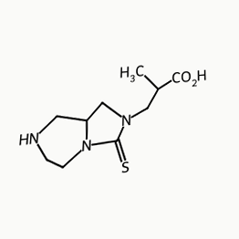 CC(CN1CC2CNCCN2C1=S)C(=O)O